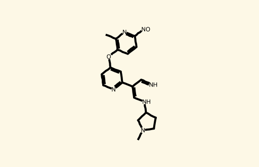 Cc1nc(N=O)ccc1Oc1ccnc(/C(C=N)=C/NC2CCN(C)C2)c1